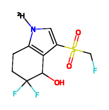 [2H]n1cc(S(=O)(=O)CF)c2c1CCC(F)(F)C2O